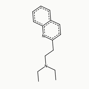 CCN(CC)CCc1ccc2ccccc2n1